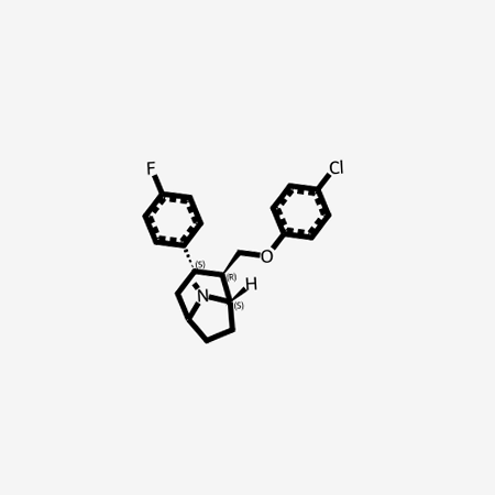 CN1C2CC[C@H]1[C@H](COc1ccc(Cl)cc1)[C@@H](c1ccc(F)cc1)C2